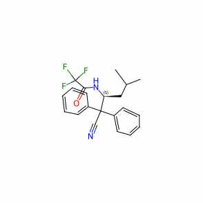 CC(C)C[C@H](NC(=O)C(F)(F)F)C(C#N)(c1ccccc1)c1ccccc1